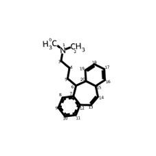 CN(C)CCCC1c2ccccc2C=CC2C=CC=CC21